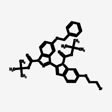 CC(C)(C)OC(=O)n1nc(-c2cc3ccc(OCCBr)cc3n2C(=O)OC(C)(C)C)c2cc(OCc3ccccc3)ccc21